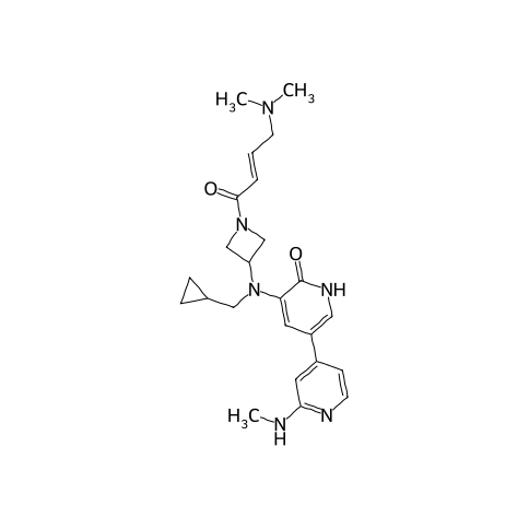 CNc1cc(-c2c[nH]c(=O)c(N(CC3CC3)C3CN(C(=O)/C=C/CN(C)C)C3)c2)ccn1